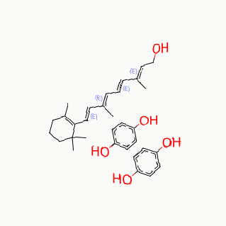 CC1=C(/C=C/C(C)=C/C=C/C(C)=C/CO)C(C)(C)CCC1.Oc1ccc(O)cc1.Oc1ccc(O)cc1